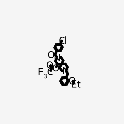 CCOc1ccccc1CN1CCC2(CC1)CCN(C(=O)c1ccc(Cl)cc1)CC2OC(=O)C(F)(F)F